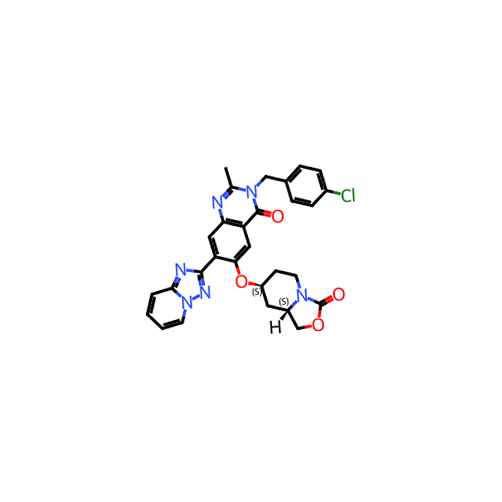 Cc1nc2cc(-c3nc4ccccn4n3)c(O[C@H]3CCN4C(=O)OC[C@@H]4C3)cc2c(=O)n1Cc1ccc(Cl)cc1